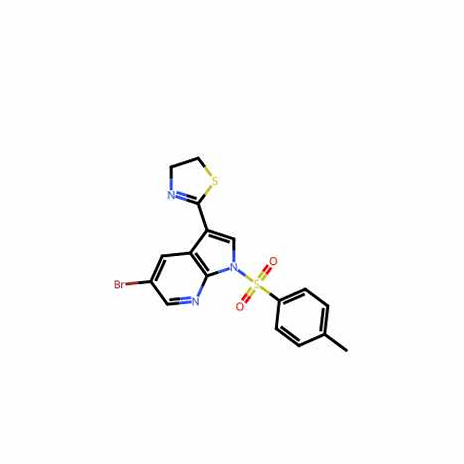 Cc1ccc(S(=O)(=O)n2cc(C3=NCCS3)c3cc(Br)cnc32)cc1